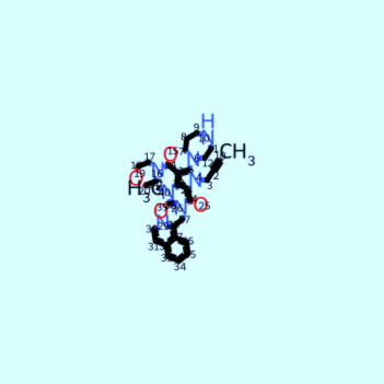 CC#CCn1c(N2CCCNCC2)c(C(=O)N2CCOCC2)c2c1c(=O)n(Cc1nccc3ccccc13)c(=O)n2C